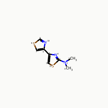 CN(C)c1nc(-c2cscn2)cs1